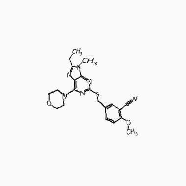 CCc1nc2c(N3CCOCC3)nc(SCc3ccc(OC)c(C#N)c3)nc2n1C